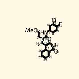 COCCN(C(=O)Nc1ccc(F)c(Cl)c1)[C@@H](C)c1c[nH]c(=O)c2ccccc12